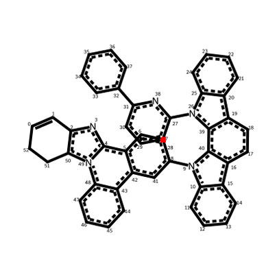 C1=Cc2nc3c4ccc(-n5c6ccccc6c6ccc7c8ccccc8n(-c8cccc(-c9ccccc9)n8)c7c65)cc4c4ccccc4n3c2CC1